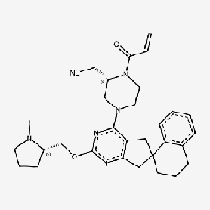 C=CC(=O)N1CCN(c2nc(OC[C@@H]3CCCN3C)nc3c2CC2(CCCc4ccccc42)C3)C[C@@H]1CC#N